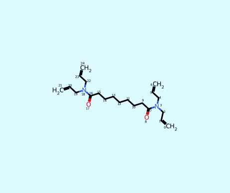 C=CCN(CC=C)C(=O)CCCCCCCC(=O)N(CC=C)CC=C